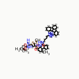 CSc1sc(C(=N)NC(=O)OC(C)(C)C)cc1S(=O)(=O)c1ccc(C)c(-c2ccccc2)c1NC(=O)NCCCCc1nnn(C(c2ccccc2)(c2ccccc2)c2ccccc2)n1